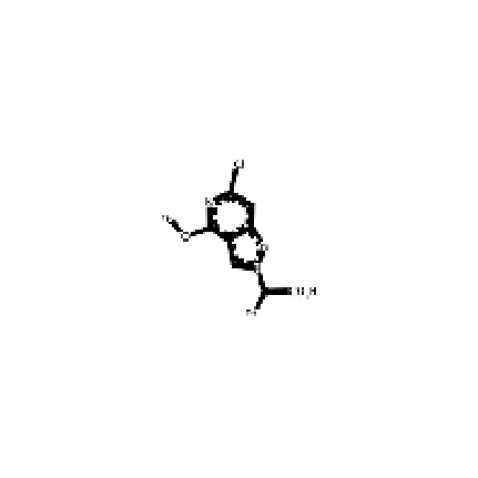 CCOc1nc(Cl)cc2nn(C(CC)C(=O)O)cc12